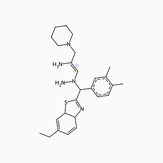 CCC1=CC2SC(C(c3ccc(C)c(C)c3)N(N)/C=C(\N)CN3CCCCC3)=NC2C=C1